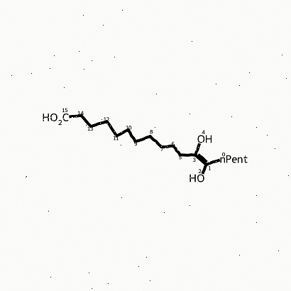 CCCCCC(O)=C(O)CCCCCCCCCCC(=O)O